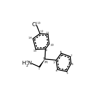 NC[C@H](c1ccccc1)c1ccc(Cl)cc1